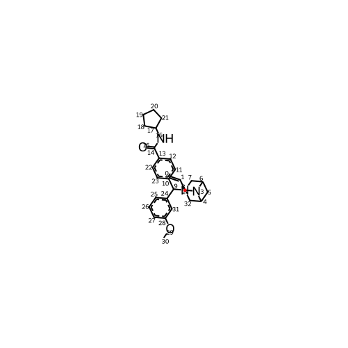 C=CCN1C2CC1CN(C(c1ccc(C(=O)NC3CCCC3)cc1)c1cccc(OC)c1)C2